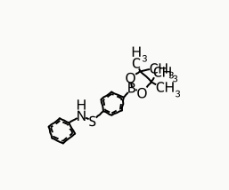 CC1(C)OB(c2ccc(SNc3ccccc3)cc2)OC1(C)C